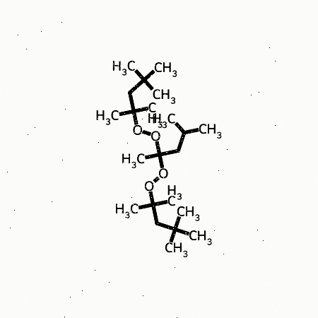 CC(C)CC(C)(OOC(C)(C)CC(C)(C)C)OOC(C)(C)CC(C)(C)C